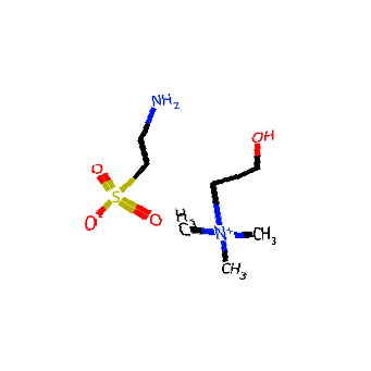 C[N+](C)(C)CCO.NCCS(=O)(=O)[O-]